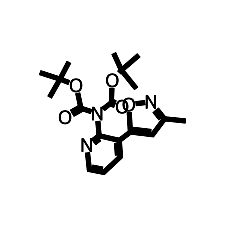 Cc1cc(-c2cccnc2N(C(=O)OC(C)(C)C)C(=O)OC(C)(C)C)on1